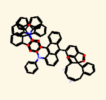 C=C1/C=C\C=C/Cc2ccccc2C12c1ccccc1-c1ccc(-c3c4ccccc4c(-c4ccc5c(c4)C4(c6ccccc6-c6ccccc64)c4ccccc4-5)c4c(N(c5ccccc5)c5ccc(-n6c7ccccc7c7ccccc76)cc5)cccc34)cc12